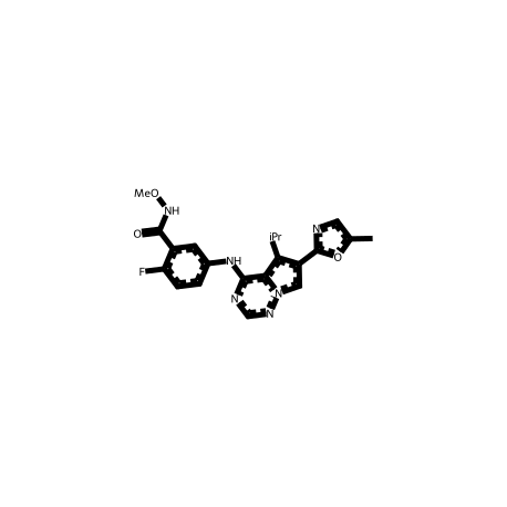 CONC(=O)c1cc(Nc2ncnn3cc(-c4ncc(C)o4)c(C(C)C)c23)ccc1F